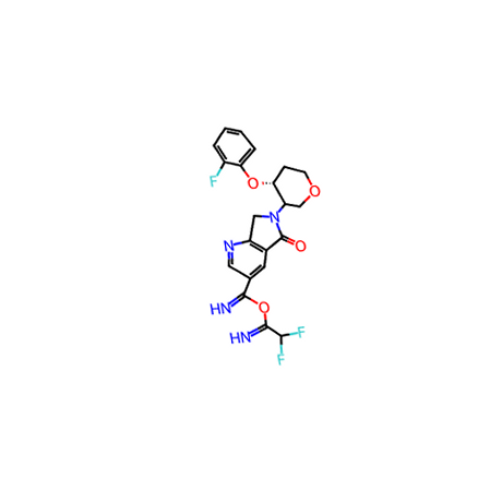 N=C(OC(=N)C(F)F)c1cnc2c(c1)C(=O)N(C1COCC[C@H]1Oc1ccccc1F)C2